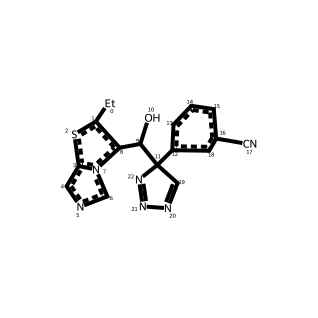 CCc1sc2cncn2c1C(O)C1(c2cccc(C#N)c2)C=NN=N1